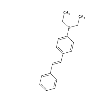 CCN(CC)c1ccc(/C=C/c2ccccc2)cc1